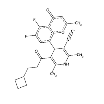 [C-]#[N+]C1=C(C)NC(C)=C(C(=O)CCC2CCC2)C1c1cc(F)c(F)c2c(=O)cc(C)oc12